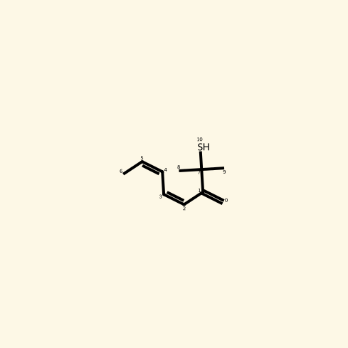 C=C(/C=C\C=C/C)C(C)(C)S